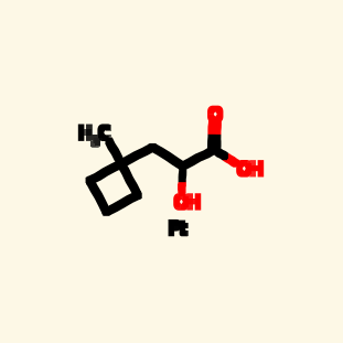 CC1(CC(O)C(=O)O)CCC1.[Pt]